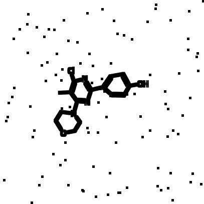 Cc1c(Cl)nc(-c2ccc(O)cc2)nc1N1CCOCC1